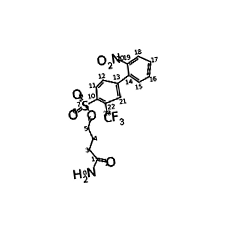 NC(=O)CCCOS(=O)(=O)c1ccc(-c2ccccc2[N+](=O)[O-])cc1C(F)(F)F